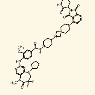 COc1cc(C(=O)NN2CCC(N3CC4(CCN(c5cccc6c5C(=O)N(C5CCC(=O)NC5=O)C6=O)CC4)C3)CC2)ccc1Nc1ncc2c(n1)N(C1CCCC1)CC(F)(F)C(=O)N2C